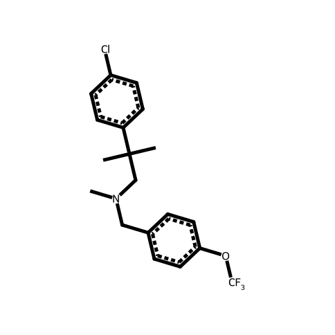 CN(Cc1ccc(OC(F)(F)F)cc1)CC(C)(C)c1ccc(Cl)cc1